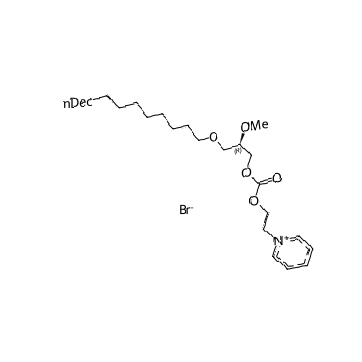 CCCCCCCCCCCCCCCCCCOC[C@H](COC(=O)OCC[n+]1ccccc1)OC.[Br-]